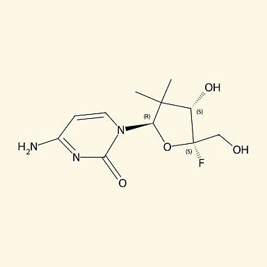 CC1(C)[C@H](n2ccc(N)nc2=O)O[C@](F)(CO)[C@H]1O